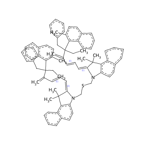 C=C(/C=C/C=C1/N(CSCN2/C(=C/C=C/C(=C)C(CC)(Cc3ccccc3)c3c(C)ccc4ccccc34)C(C)(C)c3c2ccc2ccccc32)c2ccc3ccccc3c2C1(C)C)C(CC)(Cc1ccccc1)c1c(C)ccc2ccccc12